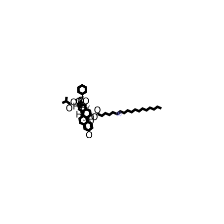 CCCCCCCCCCC/C=C/CCCCC(=O)O[C@H]1C[C@@]2(C)[C@@H](C[C@H]3O[C@@H](C4CCCCC4)O[C@]32C(=O)COC(=O)C(C)C)[C@@H]2CCC3=CC(=O)C=C[C@]3(C)[C@H]21